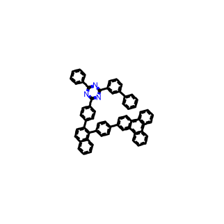 c1ccc(-c2cccc(-c3nc(-c4ccccc4)nc(-c4ccc(-c5ccc6ccccc6c5-c5ccc(-c6ccc7c8ccccc8c8ccccc8c7c6)cc5)cc4)n3)c2)cc1